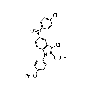 CC(C)Oc1ccc(-n2c(C(=O)O)c(Cl)c3cc([S+]([O-])c4ccc(Cl)cc4)ccc32)cc1